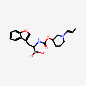 CC=CN1CCCC(OC(=O)NC(Cc2coc3ccccc23)B(O)O)C1